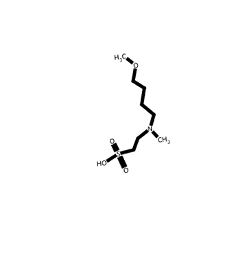 COCCCCN(C)CCS(=O)(=O)O